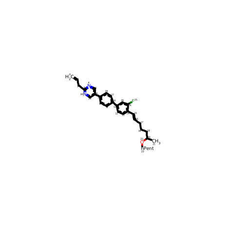 C=CCc1ncc(-c2ccc(-c3ccc(C=CCCCC(C)OCCCCC)c(F)c3)cc2)cn1